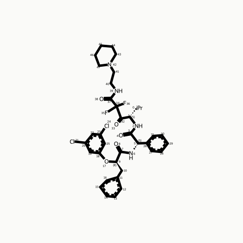 CC(C)[C@H](NC(=O)[C@@H](NC(=O)[C@@H](Cc1ccccc1)Oc1cc(Cl)cc(Cl)c1)c1ccccc1)C(=O)C(F)(F)C(=O)NCCN1CCCCC1